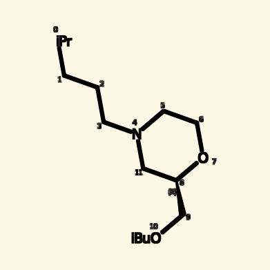 CC(C)CCCN1CCO[C@@H](COCC(C)C)C1